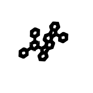 c1ccc(-c2nc(-c3ccccc3)nc(-n3c4ccccc4c4ccc5c(ccc6c7ccccc7n(-c7ccccc7)c65)c43)n2)cc1